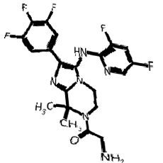 CC1(C)c2nc(-c3cc(F)c(F)c(F)c3)c(Nc3ncc(F)cc3F)n2CCN1C(=O)CN